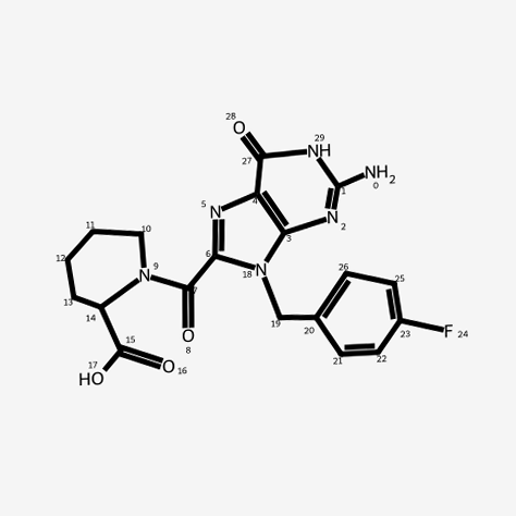 Nc1nc2c(nc(C(=O)N3CCCCC3C(=O)O)n2Cc2ccc(F)cc2)c(=O)[nH]1